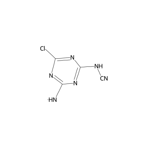 N#CNc1nc([NH])nc(Cl)n1